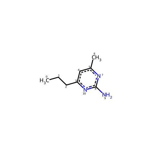 CCCc1cc(C)nc(N)n1